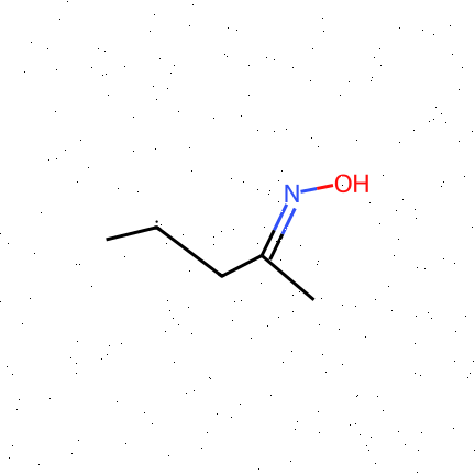 C[CH]CC(C)=NO